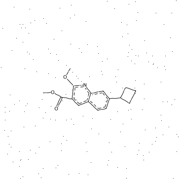 COC(=O)c1cc2ccc(C3CCC3)cc2nc1OC